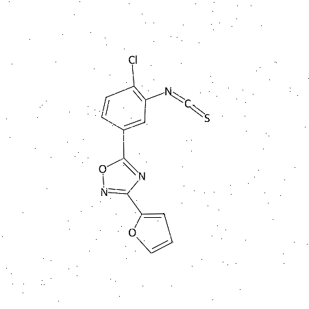 S=C=Nc1cc(-c2nc(-c3ccco3)no2)ccc1Cl